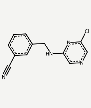 N#Cc1cccc(CNc2cncc(Cl)n2)c1